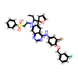 CCC(NCCS(=O)(=O)c1ccccc1)C1(c2ccc3ncnc(Nc4ccc(OCc5cccc(F)c5)c(Br)c4)c3c2)CC=CO1